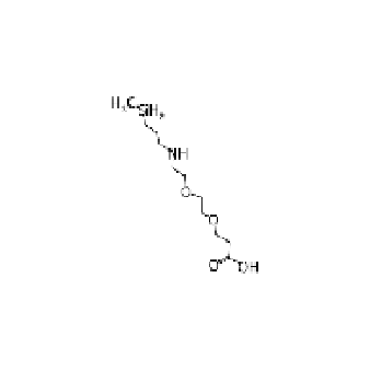 C[SiH2]CCCNCCOCCOCCC(=O)O